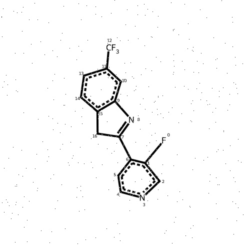 Fc1cnccc1C1=Nc2cc(C(F)(F)F)ccc2C1